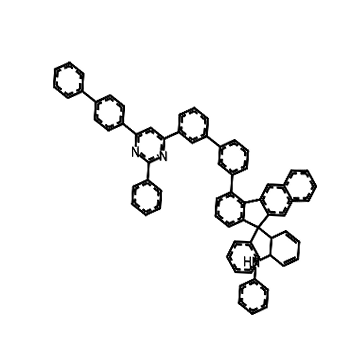 C1=CC(Nc2ccccc2)C(C2(c3ccccc3)c3cc4ccccc4cc3-c3c(-c4cccc(-c5cccc(-c6cc(-c7ccc(-c8ccccc8)cc7)nc(-c7ccccc7)n6)c5)c4)cccc32)C=C1